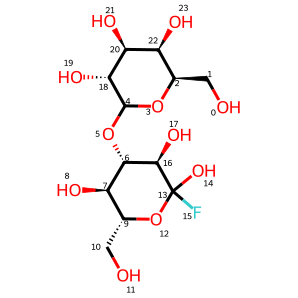 OC[C@H]1OC(O[C@H]2[C@H](O)[C@@H](CO)OC(O)(F)[C@@H]2O)[C@H](O)[C@@H](O)[C@H]1O